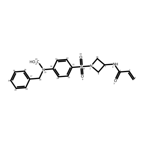 C=CC(=O)NC1CN(S(=O)(=O)c2ccc(N(Cc3ccccc3)C(=O)O)cc2)C1